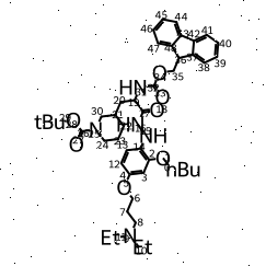 CCCCOc1cc(OCCCN(CC)CC)ccc1NNC(=O)C(CC1CCCN(C(=O)OC(C)(C)C)C1)NC(=O)OCC1c2ccccc2-c2ccccc21